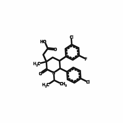 CC(C)N1C(=O)C(C)(CC(=O)O)CC(c2cc(F)cc(Cl)c2)C1c1ccc(Cl)cc1